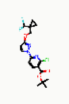 CC(C)(C)OC(=O)c1ccc(-n2ccc(OCC3(C(F)F)CC3)n2)nc1Cl